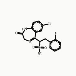 CCS(=O)(=O)C(Cc1ccccc1F)C1=NCC(=O)Nc2ccc(Cl)cc21